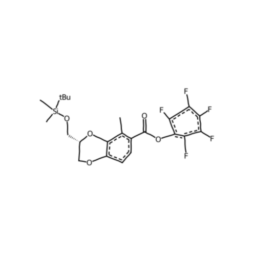 Cc1c(C(=O)Oc2c(F)c(F)c(F)c(F)c2F)ccc2c1O[C@@H](CO[Si](C)(C)C(C)(C)C)CO2